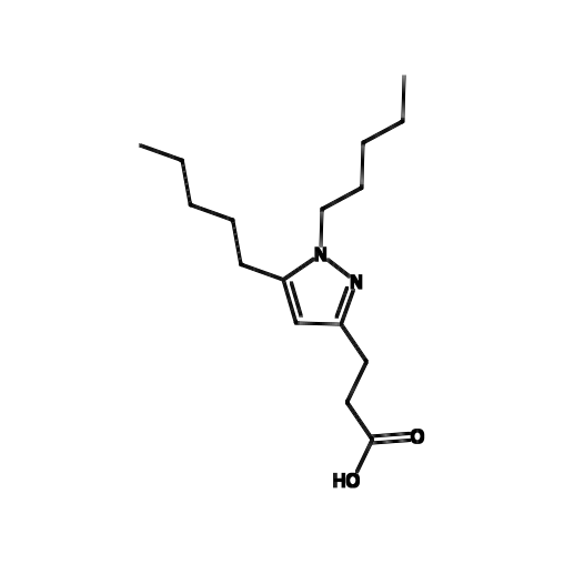 CCCCCc1cc(CCC(=O)O)nn1CCCCC